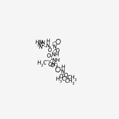 CC[C@H](C)[C@H](NC(=O)Cc1cccc(NC(=O)OC(C)(C)C)c1)C(=O)NCC(=O)N1c2ccccc2C[C@H]1C(=O)NCc1nn[nH]n1